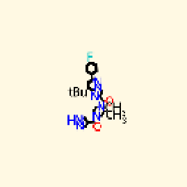 CC(C)(C)c1cc(-c2ccc(F)cc2)nn2cc(C(=O)N3CCN(C(=O)c4cn[nH]c4)CC3(C)C)nc12